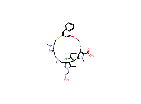 COC(=O)c1c2c3ccc(Cl)c(c3n1C)-c1c(nn(CCO)c1C)CN(C)Cc1cc(n(C)n1)CSc1cc(c3ccccc3c1)OCCC2